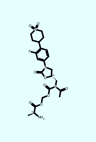 CC(=O)N(C[C@H]1CN(c2ccc(C3CCS(=O)(=O)CC3)c(F)c2)C(=O)O1)C(=O)OCOC(=O)[C@H](C)N